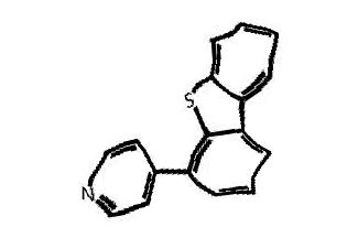 c1ccc2c(c1)sc1c(-c3ccncc3)cccc12